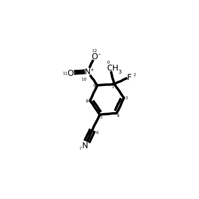 CC1(F)C=CC(C#N)=CC1[N+](=O)[O-]